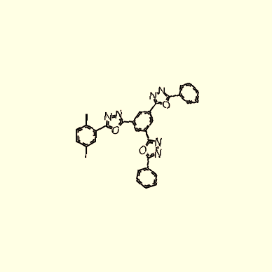 Cc1ccc(C)c(-c2nnc(-c3cc(-c4nnc(-c5ccccc5)o4)cc(-c4nnc(-c5ccccc5)o4)c3)o2)c1